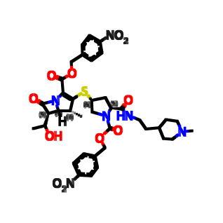 CC(O)[C@H]1C(=O)N2C(C(=O)OCc3ccc([N+](=O)[O-])cc3)=C(S[C@H]3C[C@@H](C(=O)NCCC4CCN(C)CC4)N(C(=O)OCc4ccc([N+](=O)[O-])cc4)C3)[C@H](C)[C@H]12